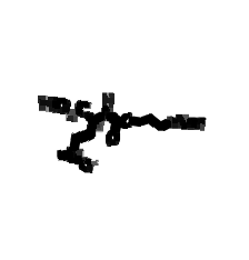 CCCCCCCCCCCCCC(=O)N[C@@H](CC[S+](C)[O-])C(=O)O